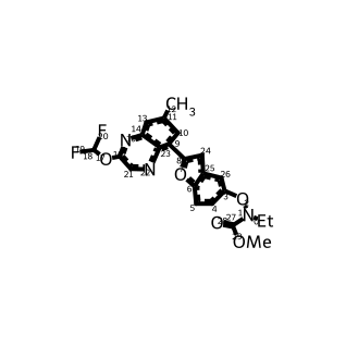 CCN(Oc1ccc2oc(-c3cc(C)cc4nc(OC(F)F)cnc34)cc2c1)C(=O)OC